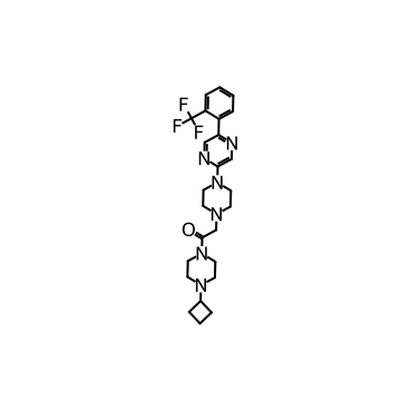 O=C(CN1CCN(c2cnc(-c3ccccc3C(F)(F)F)cn2)CC1)N1CCN(C2CCC2)CC1